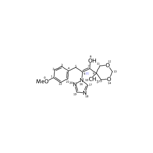 COc1ccc(C/C(=C(\O)C2(C)COCOC2)n2cncn2)cc1